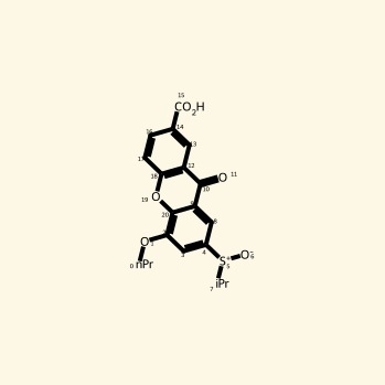 CCCOc1cc([S+]([O-])C(C)C)cc2c(=O)c3cc(C(=O)O)ccc3oc12